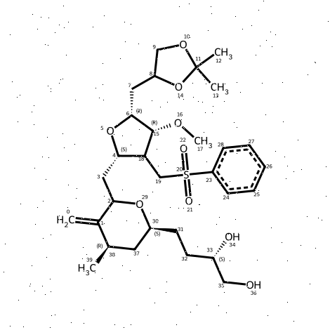 C=C1C(C[C@@H]2O[C@H](CC3COC(C)(C)O3)[C@H](OC)C2CS(=O)(=O)c2ccccc2)O[C@@H](CC[C@H](O)CO)C[C@H]1C